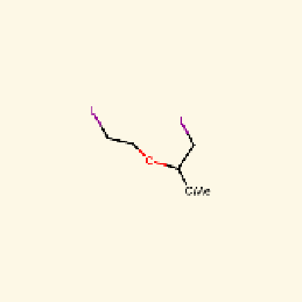 COC(CI)OCCI